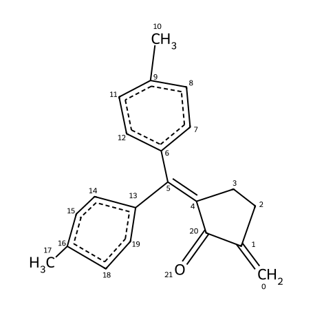 C=C1CCC(=C(c2ccc(C)cc2)c2ccc(C)cc2)C1=O